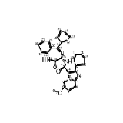 COc1ccc2nc(-c3ccccc3)c(C(=O)N[C@H]3N=C(c4ccccc4)c4ccccc4NC3=O)n2n1